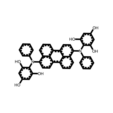 Oc1cc(O)c(N(c2ccccc2)c2ccc3c4cccc5c(N(c6ccccc6)c6c(O)cc(O)cc6O)ccc(c6cccc2c63)c54)c(O)c1